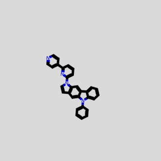 c1ccc(-n2c3ccccc3c3cc4c(ccn4-c4cccc(-c5ccncc5)n4)cc32)cc1